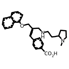 CN1CCCC1CCNCC(=Cc1ccc(C(=O)O)cc1)COc1cccc2ccccc12